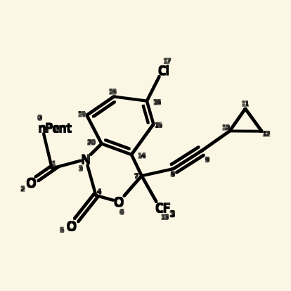 CCCCCC(=O)N1C(=O)OC(C#CC2CC2)(C(F)(F)F)c2cc(Cl)ccc21